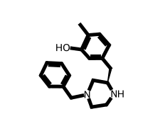 Cc1ccc(C[C@@H]2CN(Cc3ccccc3)CCN2)cc1O